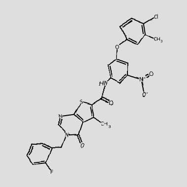 Cc1cc(Oc2cc(NC(=O)c3sc4ncn(Cc5ccccc5F)c(=O)c4c3C)cc([N+](=O)[O-])c2)ccc1Cl